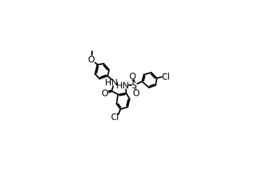 COc1ccc(NC(=O)c2cc(Cl)ccc2NS(=O)(=O)c2ccc(Cl)cc2)cc1